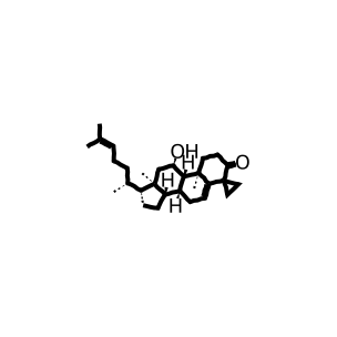 CC(C)=CCC[C@@H](C)[C@H]1CC[C@H]2[C@@H]3CC=C4C5(CC5)C(=O)CC[C@]4(C)[C@H]3[C@@H](O)C[C@]12C